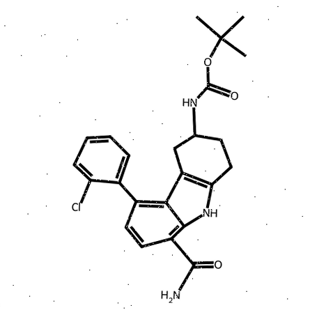 CC(C)(C)OC(=O)NC1CCc2[nH]c3c(C(N)=O)ccc(-c4ccccc4Cl)c3c2C1